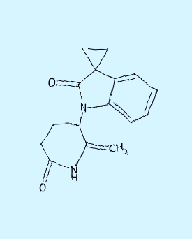 C=C1NC(=O)CCC1N1C(=O)C2(CC2)c2ccccc21